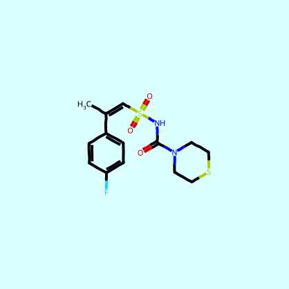 CC(=CS(=O)(=O)NC(=O)N1CCSCC1)c1ccc(F)cc1